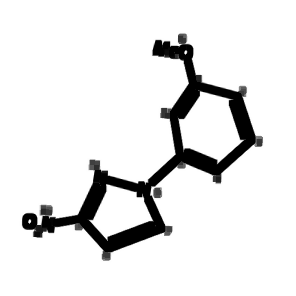 COc1cccc(-n2ccc([N+](=O)[O-])n2)c1